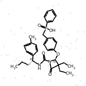 CCC[C@@H](NC(=O)N1C(=O)C(CC)(CC)[C@@H]1Oc1ccc(CP(=O)(O)c2ccccc2)cc1)c1ccc(C)cc1